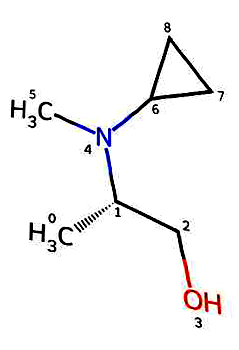 C[C@@H](CO)N(C)C1CC1